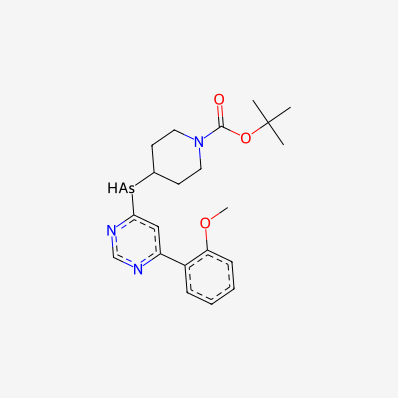 COc1ccccc1-c1cc([AsH]C2CCN(C(=O)OC(C)(C)C)CC2)ncn1